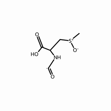 C[S+]([O-])CC(N[C]=O)C(=O)O